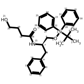 CC(C)(C)[Si](OC[C@@H](Cc1ccccc1)NC(=O)CCCO)(c1ccccc1)c1ccccc1